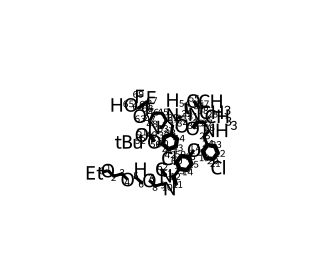 CCOCCOCCOCc1ncc(-c2ccc(Oc3cc(Cl)ccc3CN[C@@H](C)C(=O)N3[C@H](C(=O)N[C@@]4(Cc5ccc(Cl)cc5)CCCN(C(=O)OC(C)(C)C)C4)COC3(C)C)cc2)n1C.O=C(O)C(F)(F)F